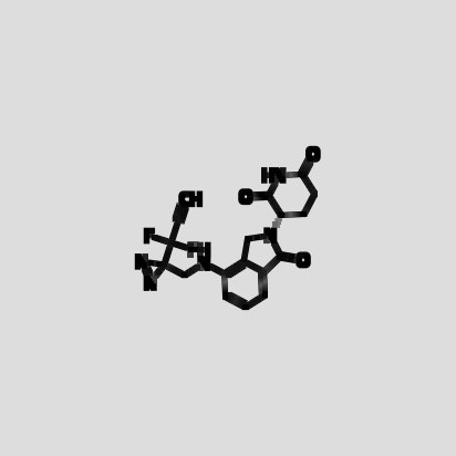 C#CC(F)(F)C1(CNc2cccc3c2CN([C@H]2CCC(=O)NC2=O)C3=O)N=N1